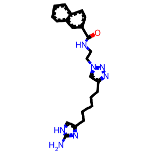 Nc1nc(CCCCCc2cn(CCNC(=O)c3ccc4ccccc4c3)nn2)c[nH]1